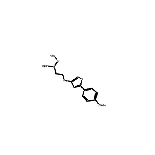 COc1ccc(-c2cc(OCCN(C=O)OC(C)(C)C)no2)cc1